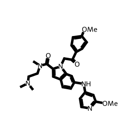 COc1ccc(C(=O)Cn2c(C(=O)N(C)CCN(C)C)cc3ccc(Nc4ccnc(OC)c4)cc32)cc1